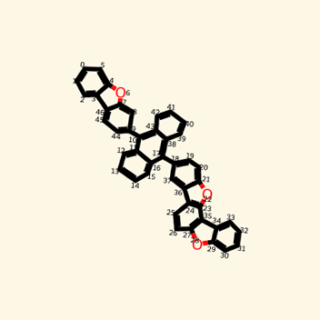 c1ccc2c(c1)oc1cc(-c3c4ccccc4c(-c4ccc5oc6c(ccc7oc8ccccc8c76)c5c4)c4ccccc34)ccc12